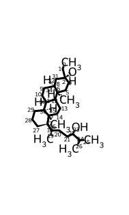 CC[C@]1(O)CC[C@@]2(C)[C@@H](CC[C@@H]3[C@@H]2CC[C@]2(C)[C@@H]([C@H](C)CC[C@@H](O)C(C)C)CCC[C@@H]32)C1